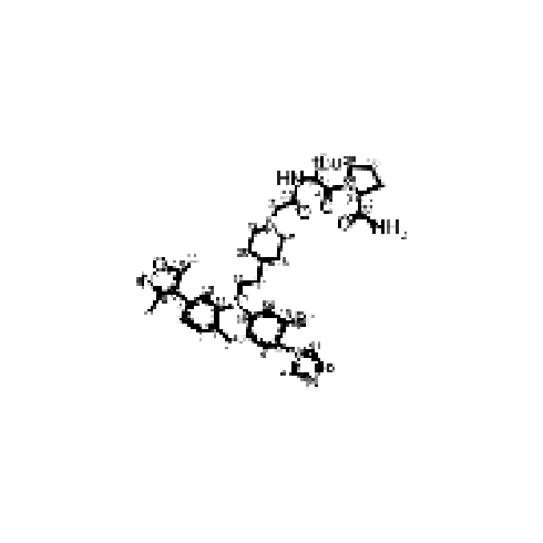 Cc1ccc(-c2c(C)noc2C)cc1N(CCC1CCN(CC(=O)N[C@H](C(=O)N2CCC[C@H]2C(N)=O)C(C)(C)C)CC1)c1ccc(-n2ccnc2)c(Br)c1